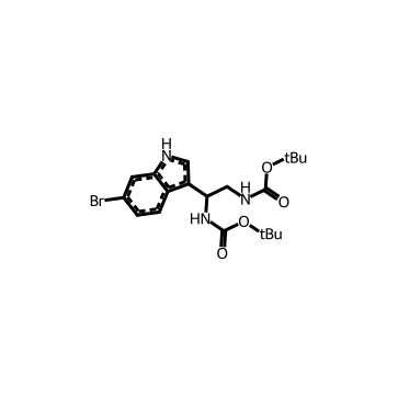 CC(C)(C)OC(=O)NCC(NC(=O)OC(C)(C)C)c1c[nH]c2cc(Br)ccc12